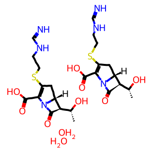 C[C@@H](O)[C@H]1C(=O)N2C(C(=O)O)=C(SCCNC=N)C[C@H]12.C[C@@H](O)[C@H]1C(=O)N2C(C(=O)O)=C(SCCNC=N)C[C@H]12.O.O